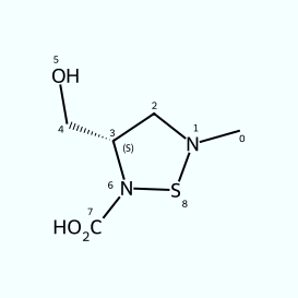 CN1C[C@@H](CO)N(C(=O)O)S1